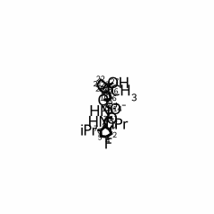 CC(C)c1cc(F)cc(C(C)C)c1NC(=O)N[S+]([O-])c1cc2c(o1)C1CCC(C1)C2(C)O